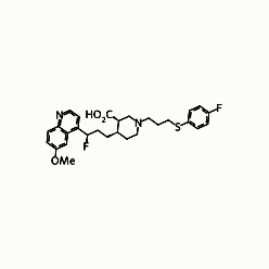 COc1ccc2nccc([C@H](F)CC[C@@H]3CCN(CCCSc4ccc(F)cc4)C[C@@H]3C(=O)O)c2c1